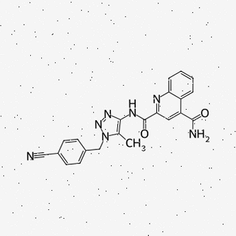 Cc1c(NC(=O)c2cc(C(N)=O)c3ccccc3n2)nnn1Cc1ccc(C#N)cc1